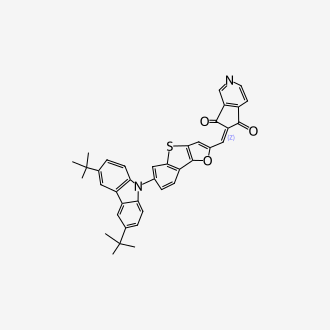 CC(C)(C)c1ccc2c(c1)c1cc(C(C)(C)C)ccc1n2-c1ccc2c(c1)sc1cc(/C=C3/C(=O)c4ccncc4C3=O)oc12